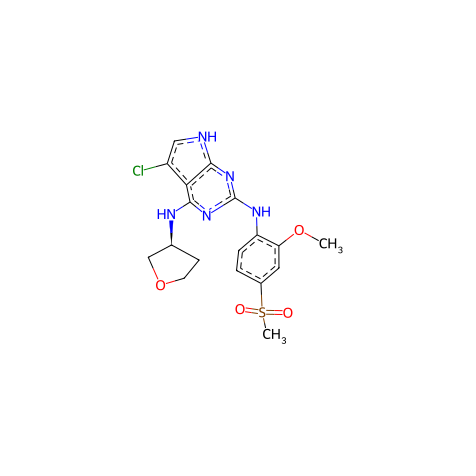 COc1cc(S(C)(=O)=O)ccc1Nc1nc(N[C@H]2CCOC2)c2c(Cl)c[nH]c2n1